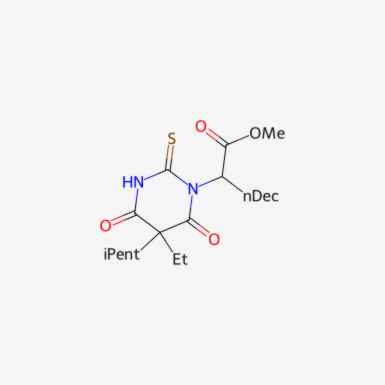 CCCCCCCCCCC(C(=O)OC)N1C(=O)C(CC)(C(C)CCC)C(=O)NC1=S